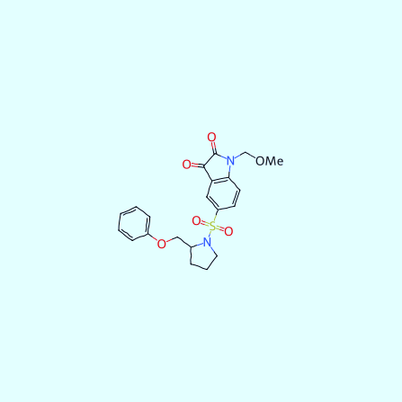 COCN1C(=O)C(=O)c2cc(S(=O)(=O)N3CCCC3COc3ccccc3)ccc21